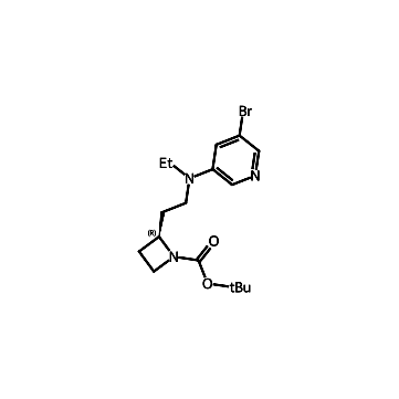 CCN(CC[C@@H]1CCN1C(=O)OC(C)(C)C)c1cncc(Br)c1